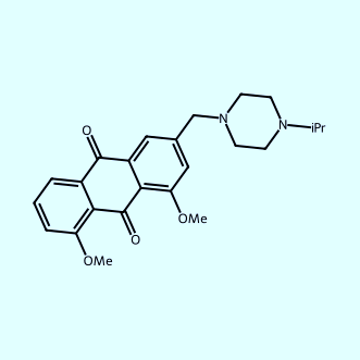 COc1cccc2c1C(=O)c1c(OC)cc(CN3CCN(C(C)C)CC3)cc1C2=O